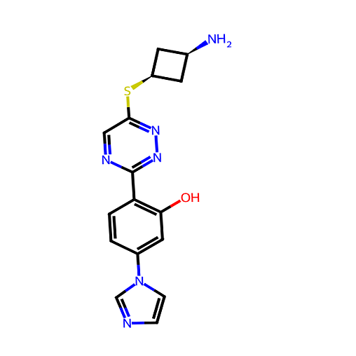 N[C@H]1C[C@@H](Sc2cnc(-c3ccc(-n4ccnc4)cc3O)nn2)C1